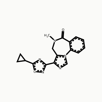 CN1Cc2c(-c3noc(C4CC4)n3)ncn2-c2ccccc2C1=O